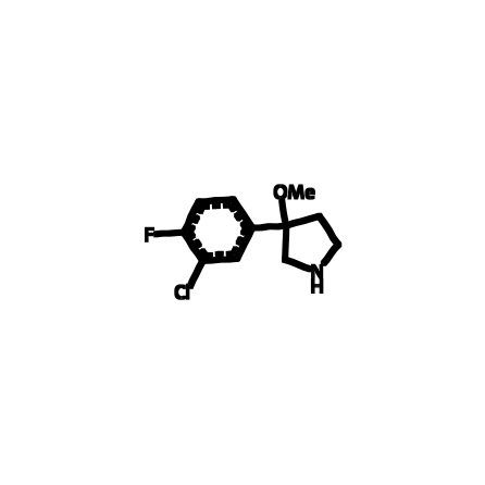 COC1(c2ccc(F)c(Cl)c2)CCNC1